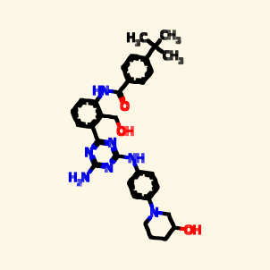 CC(C)(C)c1ccc(C(=O)Nc2cccc(-c3nc(N)nc(Nc4ccc(N5CCCC(O)C5)cc4)n3)c2CO)cc1